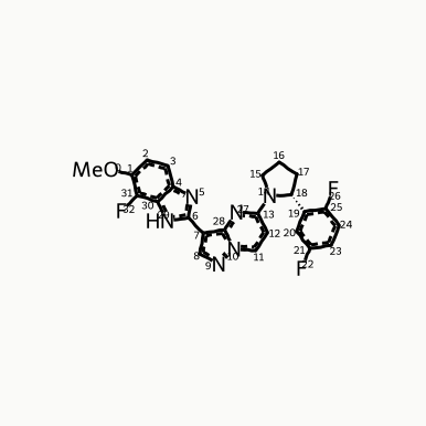 COc1ccc2nc(-c3cnn4ccc(N5CCC[C@@H]5c5cc(F)ccc5F)nc34)[nH]c2c1F